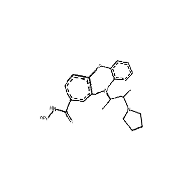 CCCNC(=O)c1ccc2c(c1)N(C(C)C(C)N1CCCC1)c1ccccc1S2